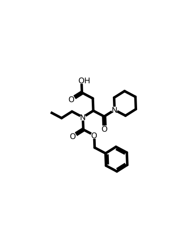 CCCN(C(=O)OCc1ccccc1)C(CC(=O)O)C(=O)N1CCCCC1